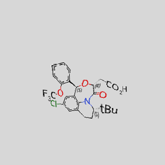 CC(C)(C)[C@@H]1CCc2cc(Cl)cc3c2N1C(=O)[C@@H](CC(=O)O)O[C@@H]3c1ccccc1OC(F)(F)F